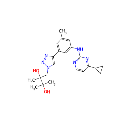 Cc1cc(Nc2nccc(C3CC3)n2)cc(-c2cn(CC(C)(O)C(C)(C)O)nn2)c1